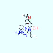 COc1ccc(CNC2(c3ccccc3N)NC=Nc3c(C)cn(-c4ccc(F)cc4O)c32)cc1